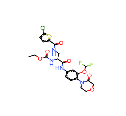 CCOC(=O)N[C@@H](CNC(=O)c1ccc(Cl)s1)C(=O)Nc1ccc(N2CCOCC2=O)c(OC(F)F)c1